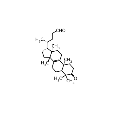 C[C@H](CCC=O)[C@H]1CC[C@@]2(C)C3=C(CC[C@]12C)[C@@]1(C)CCC(=O)C(C)(C)C1CC3